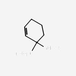 CCCCCCCC1(CCCCCCC)C=CCCC1